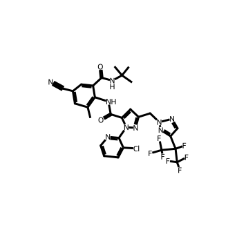 Cc1cc(C#N)cc(C(=O)NC(C)(C)C)c1NC(=O)c1cc(Cn2ncc(C(F)(C(F)(F)F)C(F)(F)F)n2)nn1-c1ncccc1Cl